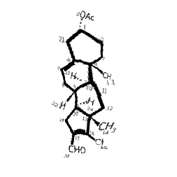 CC(=O)O[C@@H]1CC[C@@]2(C)C(=CC[C@@H]3[C@@H]2CC[C@]2(C)C(Cl)=C(C=O)C[C@@H]32)C1